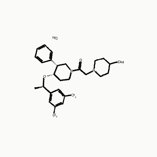 C[C@@H](O[C@H]1CCN(C(=O)CN2CCC(O)CC2)C[C@H]1c1ccccc1)c1cc(C(F)(F)F)cc(C(F)(F)F)c1.Cl